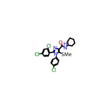 CSc1c(C(=O)NC2CCCCC2)nc(-c2ccc(Cl)cc2Cl)n1-c1ccc(Cl)cc1